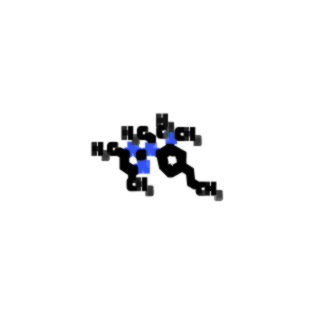 CCCc1ccc(N(CC)c2nc(C)cc(C)n2)c(N(C)C)c1